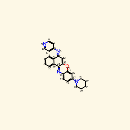 c1ccc2/c(=N\c3ccncc3)cc3oc4cc(N5CCCCC5)ccc4nc-3c2c1